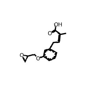 CC(=CCc1cccc(OCC2CO2)c1)C(=O)O